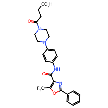 O=C(O)CCC(=O)N1CCN(c2ccc(NC(=O)c3nc(-c4ccccc4)oc3C(F)(F)F)cc2)CC1